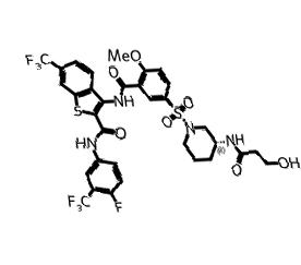 COc1ccc(S(=O)(=O)N2CCC[C@@H](NC(=O)CCO)C2)cc1C(=O)Nc1c(C(=O)Nc2ccc(F)c(C(F)(F)F)c2)sc2cc(C(F)(F)F)ccc12